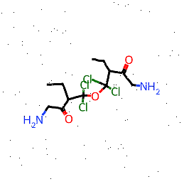 CCC(C(=O)CN)C(Cl)(Cl)OC(Cl)(Cl)C(CC)C(=O)CN